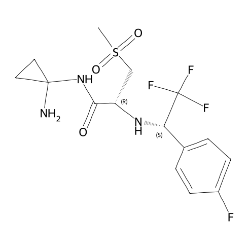 CS(=O)(=O)C[C@H](N[C@@H](c1ccc(F)cc1)C(F)(F)F)C(=O)NC1(N)CC1